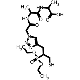 CCOP(=O)(OCC)C(CS)Cc1cn(CC(=O)NC(C)C(=O)NC(C)C(=O)O)nn1